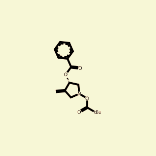 C=C1CN(OC(=O)C(C)(C)C)C[C@H]1OC(=O)c1ccccc1